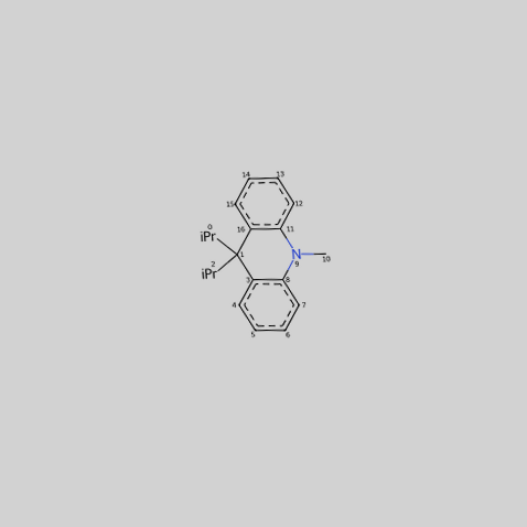 CC(C)C1(C(C)C)c2ccccc2N(C)c2ccccc21